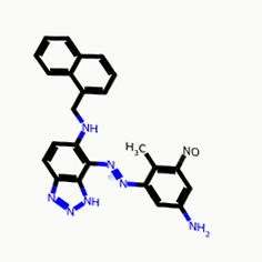 Cc1c(N=O)cc(N)cc1/N=N/c1c(NCc2cccc3ccccc23)ccc2nn[nH]c12